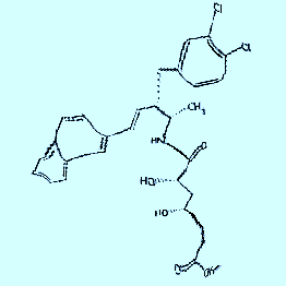 C[C@H](NC(=O)[C@@H](O)C[C@@H](O)CC(=O)O)[C@H](/C=C/c1ccc2ccccc2c1)Cc1ccc(Cl)c(Cl)c1